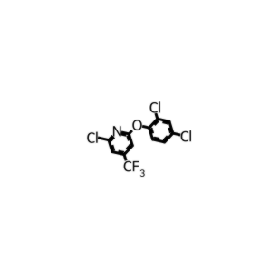 FC(F)(F)c1cc(Cl)nc(Oc2ccc(Cl)cc2Cl)c1